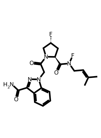 CC(C)=CCN(F)C(=O)[C@@H]1C[C@@H](F)CN1C(=O)Cn1nc(C(N)=O)c2ccccc21